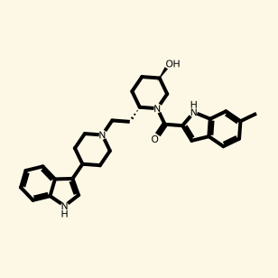 Cc1ccc2cc(C(=O)N3C[C@H](O)CC[C@H]3CCN3CCC(c4c[nH]c5ccccc45)CC3)[nH]c2c1